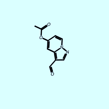 CC(=O)Oc1ccn2ncc(C=O)c2c1